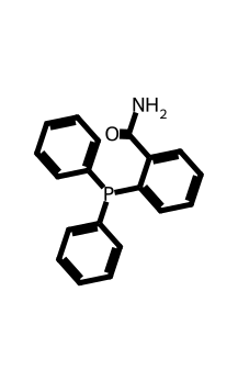 NC(=O)c1ccccc1P(c1ccccc1)c1ccccc1